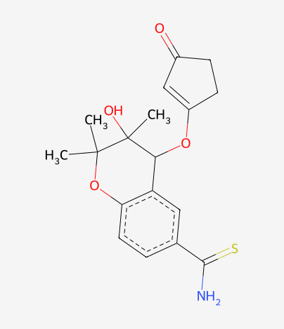 CC1(C)Oc2ccc(C(N)=S)cc2C(OC2=CC(=O)CC2)C1(C)O